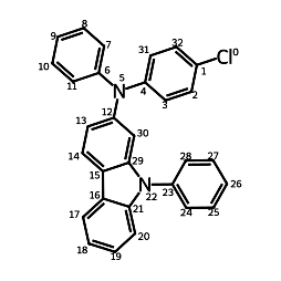 Clc1ccc(N(c2ccccc2)c2ccc3c4ccccc4n(-c4ccccc4)c3c2)cc1